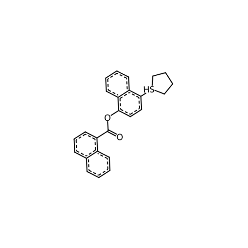 O=C(Oc1ccc([SH]2CCCC2)c2ccccc12)c1cccc2ccccc12